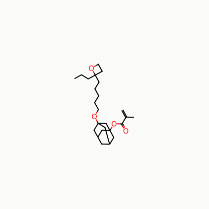 C=C(C)C(=O)OC12CC3CC(CC(OCCCCCC4(CCC)CCO4)(C3)C1)C2